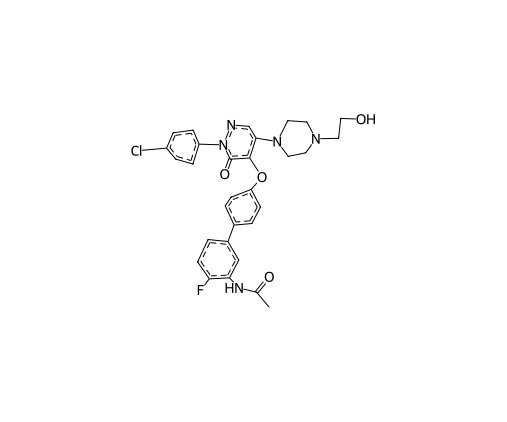 CC(=O)Nc1cc(-c2ccc(Oc3c(N4CCN(CCO)CC4)cnn(-c4ccc(Cl)cc4)c3=O)cc2)ccc1F